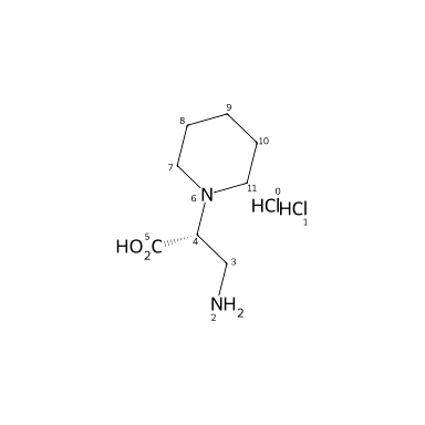 Cl.Cl.NC[C@H](C(=O)O)N1CCCCC1